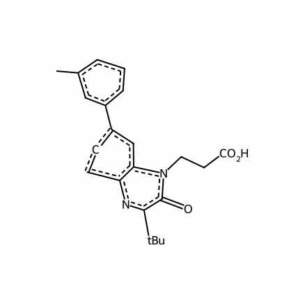 Cc1cccc(-c2ccc3nc(C(C)(C)C)c(=O)n(CCC(=O)O)c3c2)c1